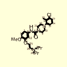 COc1ccc(NC(=O)N2CCN(c3cccc(Cl)c3C)CC2)cc1OCCN(C(C)C)C(C)C